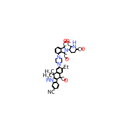 CCc1cc2c(cc1N1CCN(c3cccc4c(=C=O)n(C5CCC(=C=O)NC5=C=O)c(=C=O)c34)CC1)C(C)(C)c1[nH]c3cc(C#N)ccc3c1C2=C=O